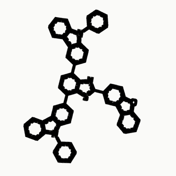 c1ccc(-n2c3ccccc3c3cc(-c4ccc(-c5ccc6c(c5)c5ccccc5n6-c5ccccc5)c5sc(-c6ccc7oc8ccccc8c7c6)nc45)ccc32)cc1